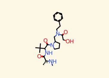 CN[C@@H](C)C(=O)NC(C(=O)N1CCCC1CN(CCc1ccccc1)C(=O)CO)C(C)(C)C